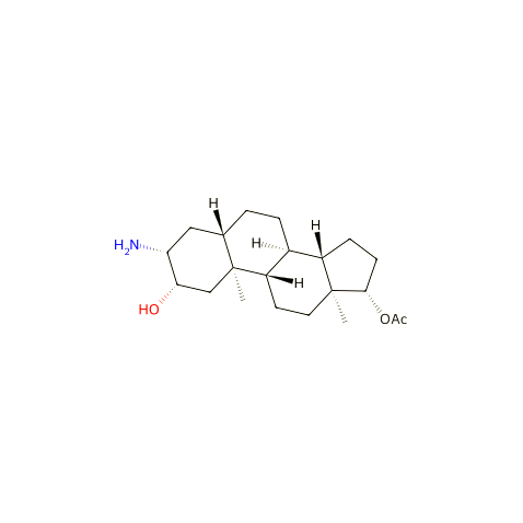 CC(=O)O[C@H]1CC[C@H]2[C@@H]3CC[C@H]4C[C@@H](N)[C@@H](O)C[C@]4(C)[C@H]3CC[C@]12C